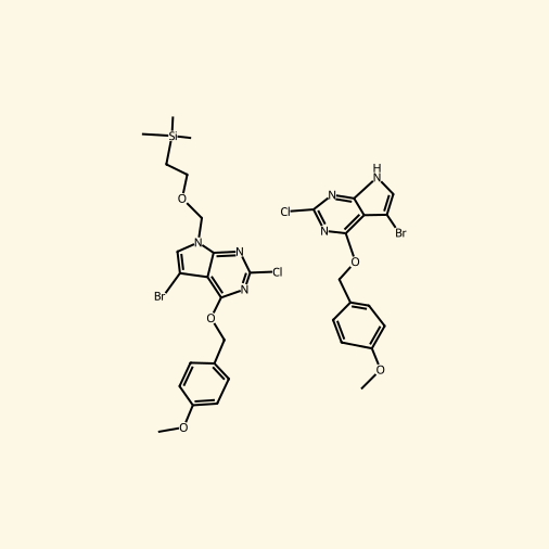 COc1ccc(COc2nc(Cl)nc3[nH]cc(Br)c23)cc1.COc1ccc(COc2nc(Cl)nc3c2c(Br)cn3COCC[Si](C)(C)C)cc1